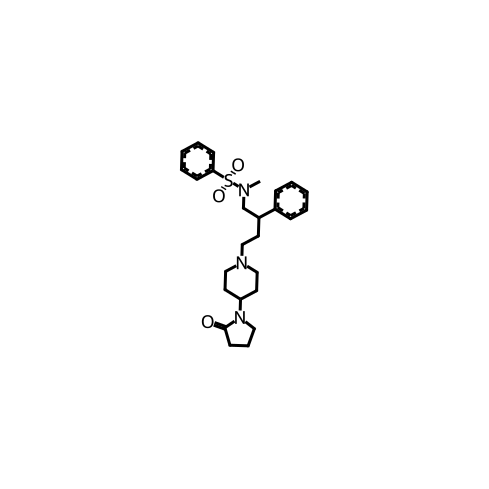 CN(CC(CCN1CCC(N2CCCC2=O)CC1)c1ccccc1)S(=O)(=O)c1ccccc1